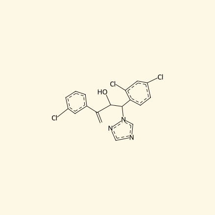 C=C(c1cccc(Cl)c1)C(O)C(c1ccc(Cl)cc1Cl)n1cncn1